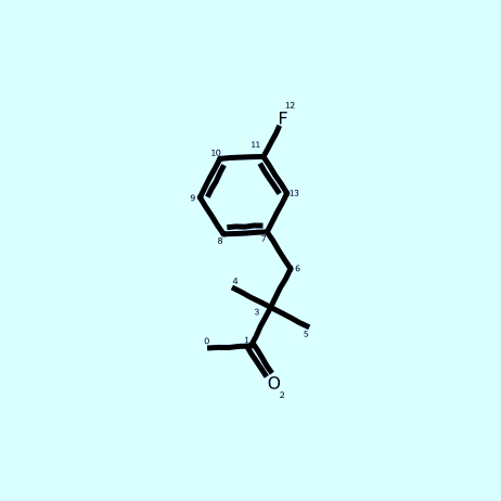 CC(=O)C(C)(C)Cc1cccc(F)c1